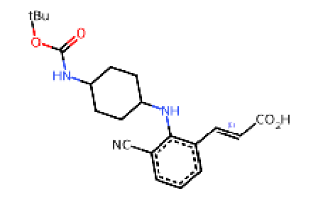 CC(C)(C)OC(=O)NC1CCC(Nc2c(C#N)cccc2/C=C/C(=O)O)CC1